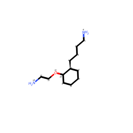 NCCCC[C@H]1CCCCC1OCCN